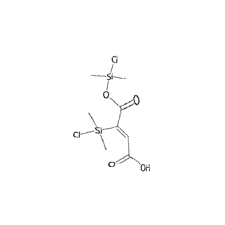 C[Si](C)(Cl)OC(=O)C(=CC(=O)O)[Si](C)(C)Cl